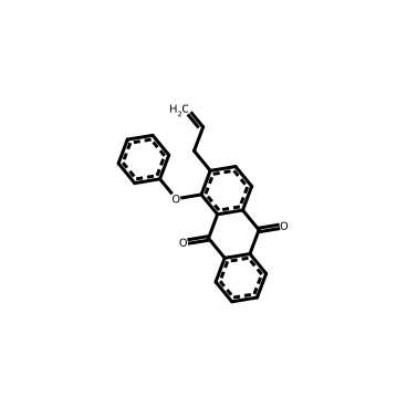 C=CCc1ccc2c(c1Oc1ccccc1)C(=O)c1ccccc1C2=O